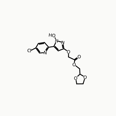 O=C(COc1cc(-c2ccc(Cl)cn2)n(O)n1)OCC1OCCO1